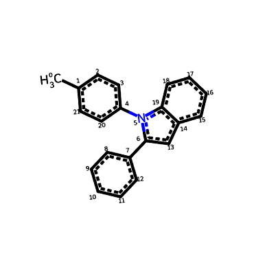 Cc1ccc(-n2c(-c3ccccc3)cc3ccccc32)cc1